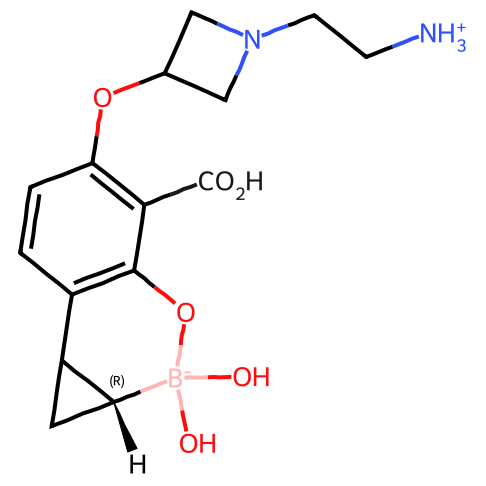 [NH3+]CCN1CC(Oc2ccc3c(c2C(=O)O)O[B-](O)(O)[C@@H]2CC32)C1